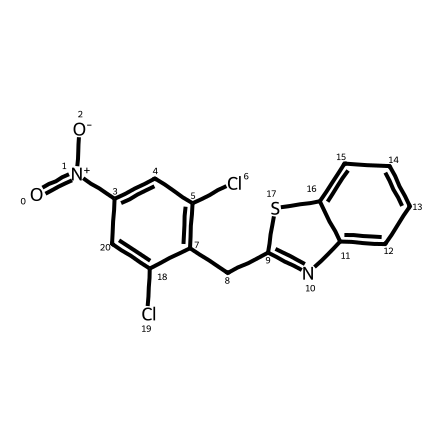 O=[N+]([O-])c1cc(Cl)c(Cc2nc3ccccc3s2)c(Cl)c1